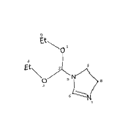 CCOC(OCC)N1C=NCC1